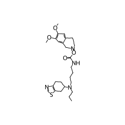 CCCN(CCCCNC(=O)ON1CCc2cc(OC)c(OC)cc2C1)C1CCc2ncsc2C1